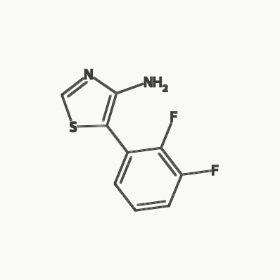 Nc1ncsc1-c1cccc(F)c1F